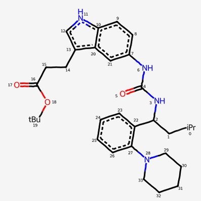 CC(C)CC(NC(=O)Nc1ccc2[nH]cc(CCC(=O)OC(C)(C)C)c2c1)c1ccccc1N1CCCCC1